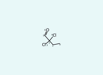 CCC(Cl)(Cl)C=O